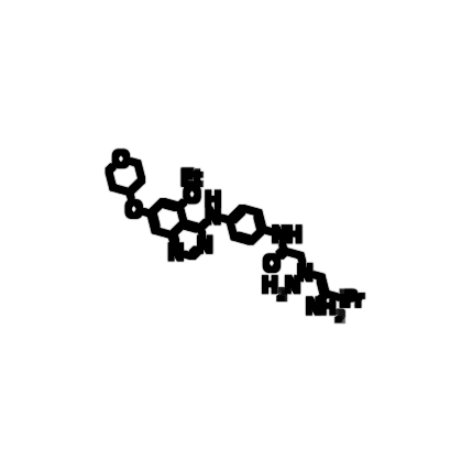 CCOc1cc(OC2CCOCC2)cc2ncnc(Nc3ccc(NC(=O)CN(N)/C=C(\N)C(C)C)cc3)c12